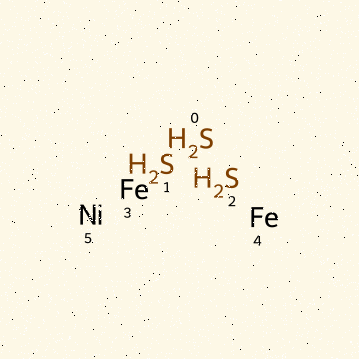 S.S.S.[Fe].[Fe].[Ni]